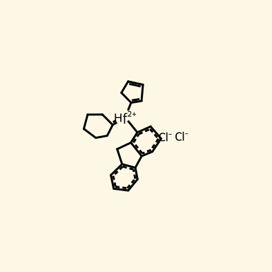 C1=CC[C]([Hf+2](=[C]2CCCCC2)[c]2cccc3c2Cc2ccccc2-3)=C1.[Cl-].[Cl-]